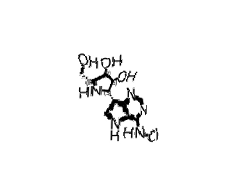 OC[C@H]1N[C@@H](c2c[nH]c3c(NCl)ncnc23)[C@H](O)[C@@H]1O